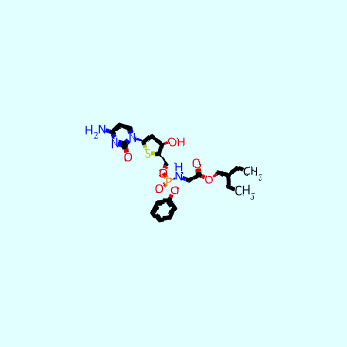 CCC(CC)COC(=O)CN[P@](=O)(OC[C@H]1S[C@@H](n2ccc(N)nc2=O)C[C@H]1O)Oc1ccccc1